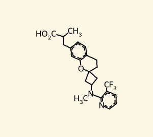 CC(Cc1ccc2c(c1)OC1(CC2)CC(N(C)c2ncccc2C(F)(F)F)C1)C(=O)O